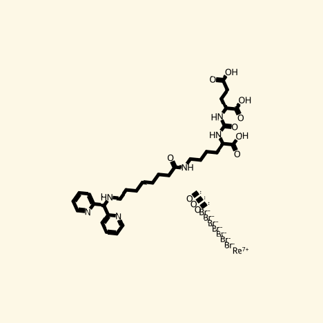 O=C(O)CCC(NC(=O)NC(CCCCNC(=O)CCCCCCCNC(c1ccccn1)c1ccccn1)C(=O)O)C(=O)O.[Br-].[Br-].[Br-].[Br-].[Br-].[Br-].[Br-].[C]=O.[C]=O.[C]=O.[Re+7]